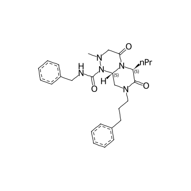 CCC[C@H]1C(=O)N(CCCc2ccccc2)C[C@H]2N1C(=O)CN(C)N2C(=O)NCc1ccccc1